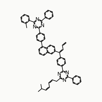 C=C/C=C(/c1ccc(-c2nc(C/C=C\C=C/C(C)C)nc(-c3ccccc3)n2)cc1)c1ccc2c(-c3ccc(-c4nc(-c5ccccc5)nc(-c5ccccc5C)n4)cc3)cccc2c1